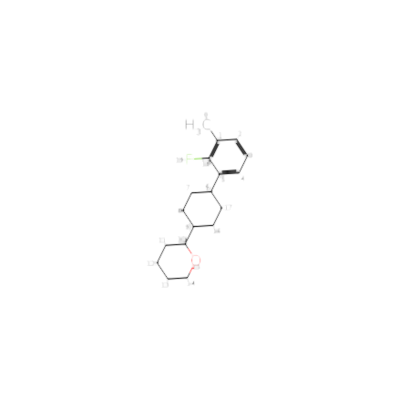 Cc1cccc(C2CCC(C3CCCCO3)CC2)c1F